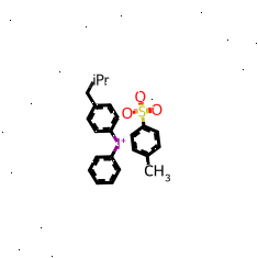 CC(C)Cc1ccc([I+]c2ccccc2)cc1.Cc1ccc(S(=O)(=O)[O-])cc1